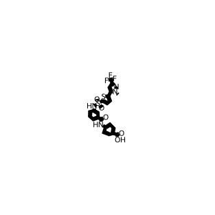 Cn1nc(C(F)(F)F)cc1-c1ccc(S(=O)(=O)Nc2cccc(C(=O)Nc3ccc(C(=O)O)cc3)c2)s1